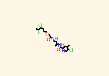 C=C(CCNC(=O)CO/C=C/C=C(/Cl)C(=C)F)NC(=O)c1cc(C)c(Cl)cn1